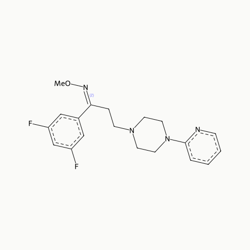 CO/N=C(/CCN1CCN(c2ccccn2)CC1)c1cc(F)cc(F)c1